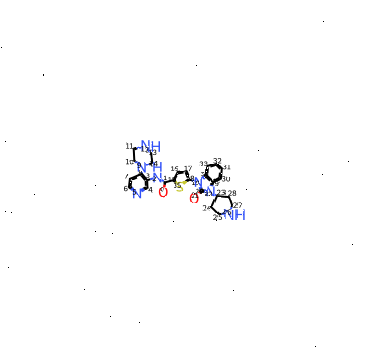 O=C(Nc1cnccc1N1CCNCC1)c1ccc(-n2c(=O)n(C3CCNCC3)c3ccccc32)s1